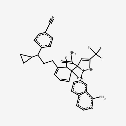 N#Cc1ccc(C(CCC2=CC=CC(N)(C3(C(N)=O)C=C(C(F)(F)F)NN3c3ccc4ccnc(N)c4c3)C2F)C2CC2)cc1